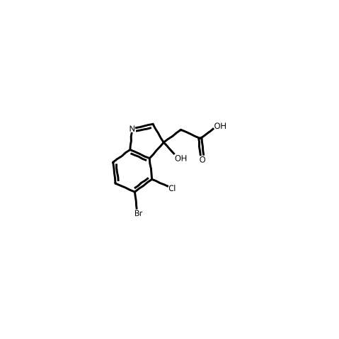 O=C(O)CC1(O)C=Nc2ccc(Br)c(Cl)c21